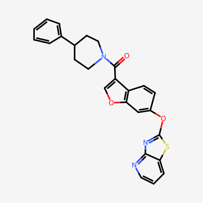 O=C(c1coc2cc(Oc3nc4ncccc4s3)ccc12)N1CCC(c2ccccc2)CC1